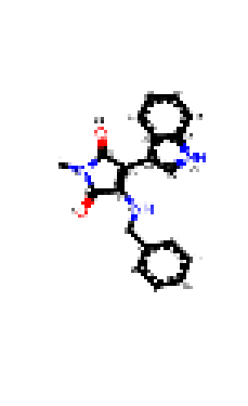 CN1C(=O)C(NCc2ccccc2)=C(c2c[nH]c3ccccc23)C1=O